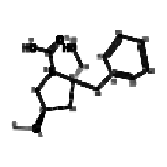 CO[C@H]1CN(C(=O)O)[C@@](CO)(Cc2ccccc2)C1